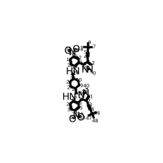 Cn1cc(C#CC(C)(C)C)c(-c2cc([N+](=O)[O-])ccc2NCC2CCC(CNc3ccc([N+](=O)[O-])cc3-c3nn(C)cc3C#CC(C)(C)C)CC2)n1